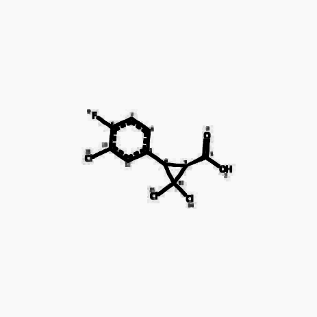 O=C(O)[C@@H]1C(c2ccc(F)c(Cl)c2)C1(Cl)Cl